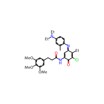 CCC1=C(Cl)C(=O)C(NC(=O)CCc2cc(OC)c(OC)c(OC)c2)=C/C1=N\c1ccc(N(CC)CC)cc1C